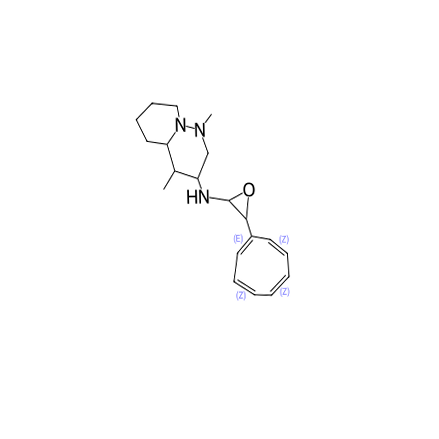 CC1C(NC2OC2C2=C/C=C\C=C/C=C\2)CN(C)N2CCCCC12